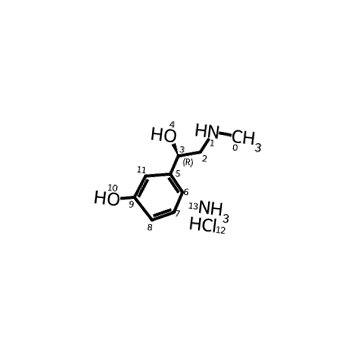 CNC[C@H](O)c1cccc(O)c1.Cl.N